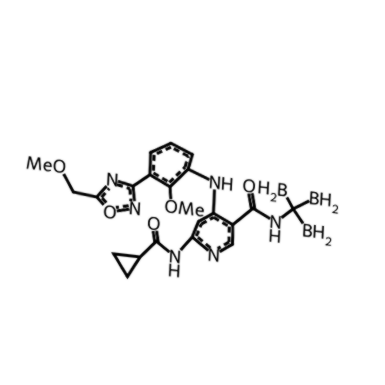 BC(B)(B)NC(=O)c1cnc(NC(=O)C2CC2)cc1Nc1cccc(-c2noc(COC)n2)c1OC